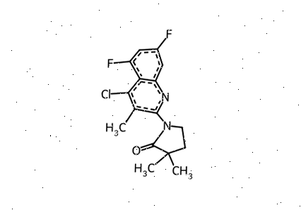 Cc1c(N2CCC(C)(C)C2=O)nc2cc(F)cc(F)c2c1Cl